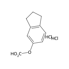 Cl.Cl.O=C(O)Oc1ccc2c(c1)CCC2